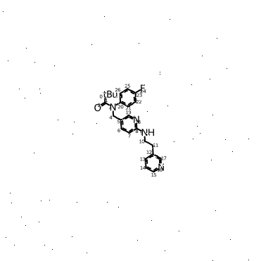 CC(C)(C)C(=O)N(Cc1ccc(NCCc2cccnc2)nc1)c1ccc(F)cc1